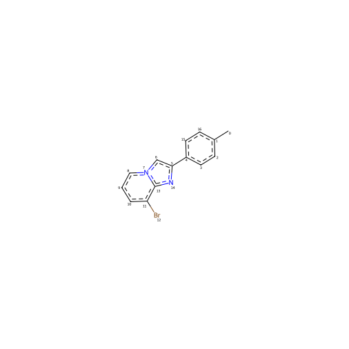 Cc1ccc(-c2cn3cccc(Br)c3n2)cc1